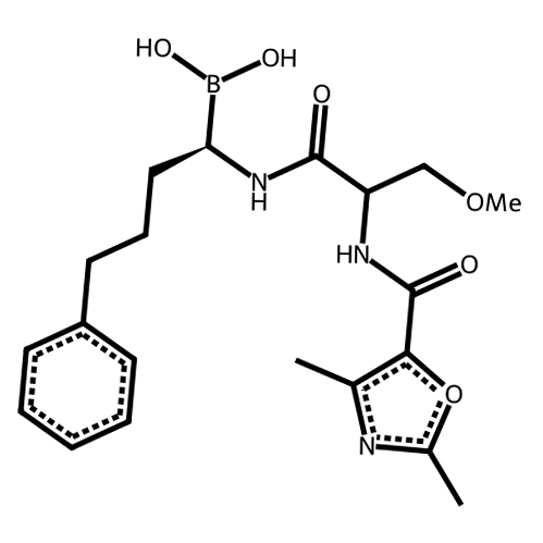 COCC(NC(=O)c1oc(C)nc1C)C(=O)N[C@@H](CCCc1ccccc1)B(O)O